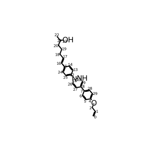 C=CCOc1ccc(C2=CNN(c3ccc(C=CCCCC(C)O)cc3)C=C2)cc1